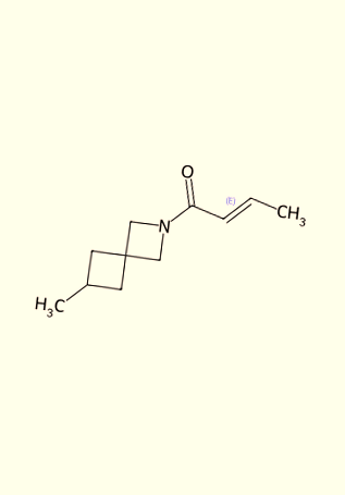 C/C=C/C(=O)N1CC2(CC(C)C2)C1